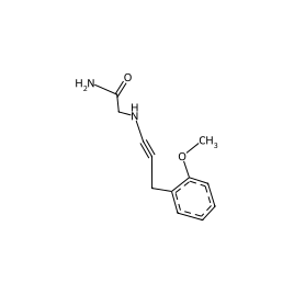 COc1ccccc1CC#CNCC(N)=O